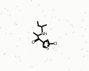 CCC(C)NC(C)C(=O)c1csc(Cl)c1